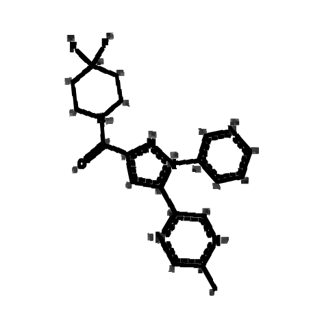 Cc1cnc(-c2cc(C(=O)N3CCC(F)(F)CC3)nn2-c2cccnc2)cn1